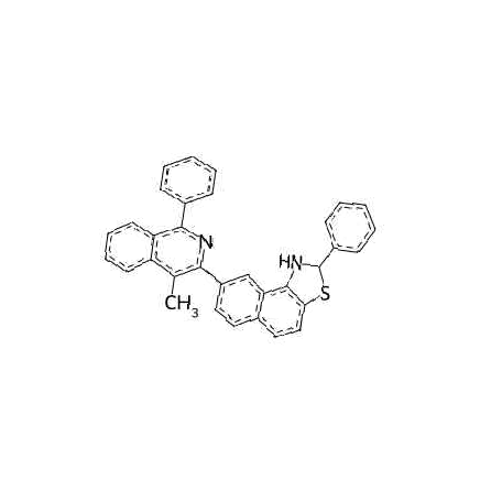 Cc1c(-c2ccc3ccc4c(c3c2)NC(c2ccccc2)S4)nc(-c2ccccc2)c2ccccc12